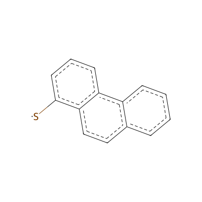 [S]c1cccc2c1ccc1ccccc12